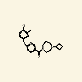 Cc1cc(Oc2ccc(C(=O)N3CCCN(C4CCC4)CC3)cn2)ccc1Cl